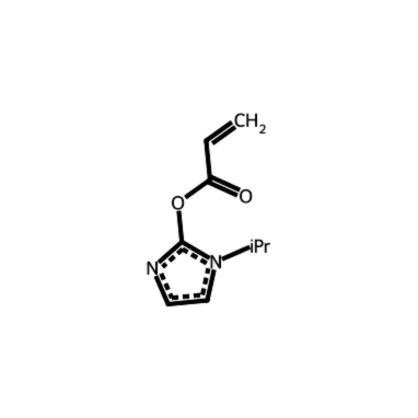 C=CC(=O)Oc1nccn1C(C)C